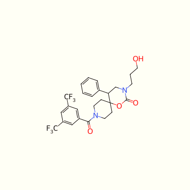 O=C1OC2(CCN(C(=O)c3cc(C(F)(F)F)cc(C(F)(F)F)c3)CC2)C(c2ccccc2)CN1CCCO